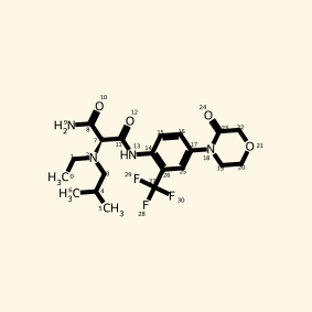 CCN(CC(C)C)[C@@H](C(N)=O)C(=O)Nc1ccc(N2CCOCC2=O)cc1C(F)(F)F